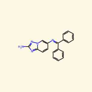 Nc1nc2ccc(N=C(c3ccccc3)c3ccccc3)cn2n1